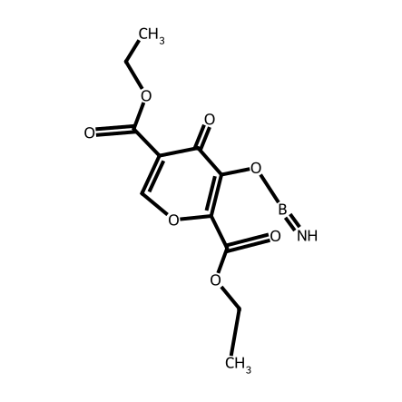 CCOC(=O)c1occ(C(=O)OCC)c(=O)c1OB=N